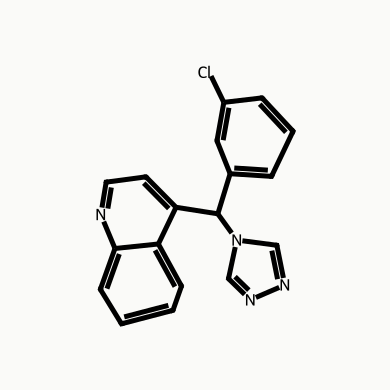 Clc1cccc(C(c2ccnc3ccccc23)n2cnnc2)c1